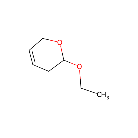 CCOC1CC=CCO1